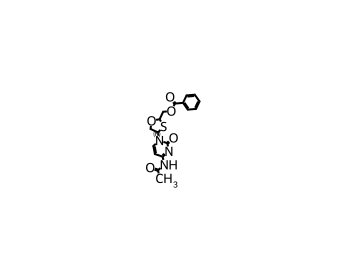 CC(=O)Nc1ccn([C@H]2COC(COC(=O)c3ccccc3)S2)c(=O)n1